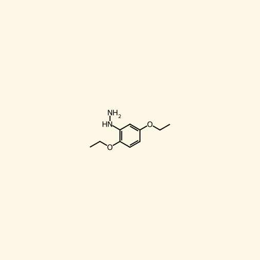 CCOc1ccc(OCC)c(NN)c1